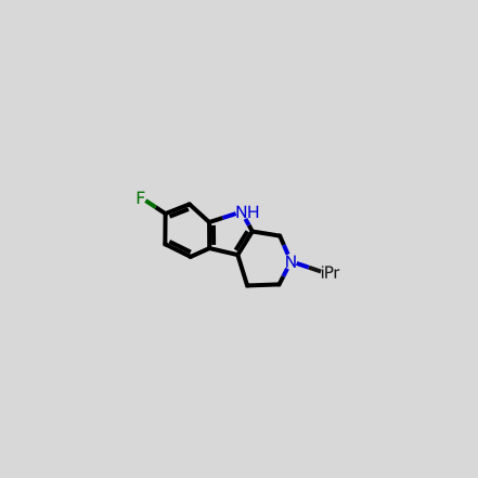 CC(C)N1CCc2c([nH]c3cc(F)ccc23)C1